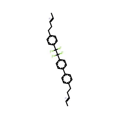 C/C=C/CCc1ccc(-c2ccc(C(F)(F)C(F)(F)c3ccc(CC/C=C/C)cc3)cc2)cc1